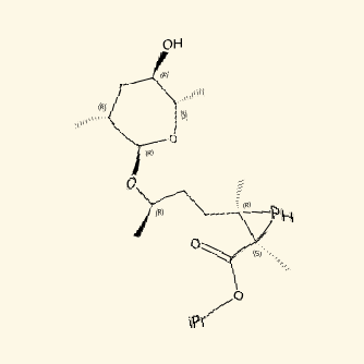 CC(C)OC(=O)[C@]1(C)P[C@]1(C)CC[C@@H](C)O[C@@H]1O[C@@H](C)[C@H](O)C[C@H]1C